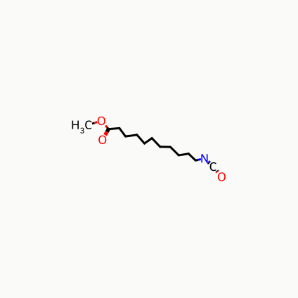 COC(=O)CCCCCCCCCCN=C=O